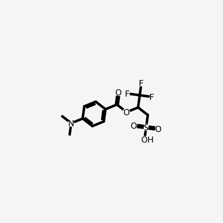 CN(C)c1ccc(C(=O)OC(CS(=O)(=O)O)C(F)(F)F)cc1